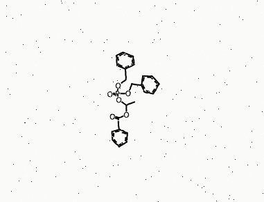 CC(OC(=O)c1ccccc1)OP(=O)(OCc1ccccc1)OCc1ccccc1